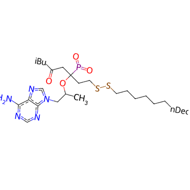 CCCCCCCCCCCCCCCCSSCCC(CC(=O)C(C)CC)(OC(C)Cn1cnc2c(N)ncnc21)P(=O)=O